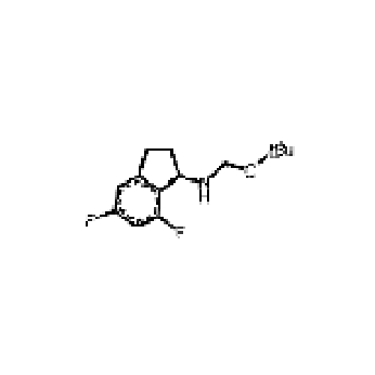 CC(C)(C)OCNC1CCc2cc(F)cc(F)c21